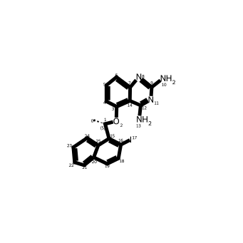 C[C@H](Oc1cccc2nc(N)nc(N)c12)c1c(I)ccc2ccccc12